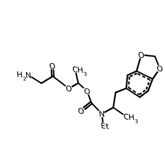 CCN(C(=O)OC(C)OC(=O)CN)C(C)Cc1ccc2c(c1)OCO2